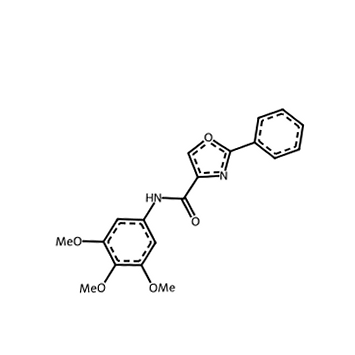 COc1cc(NC(=O)c2coc(-c3ccccc3)n2)cc(OC)c1OC